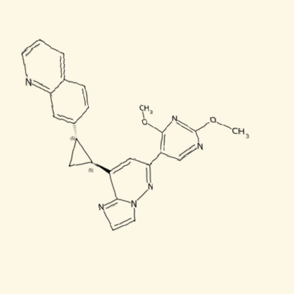 COc1ncc(-c2cc([C@H]3C[C@@H]3c3ccc4cccnc4c3)c3nccn3n2)c(OC)n1